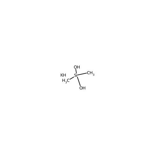 C[Si](C)(O)O.[KH]